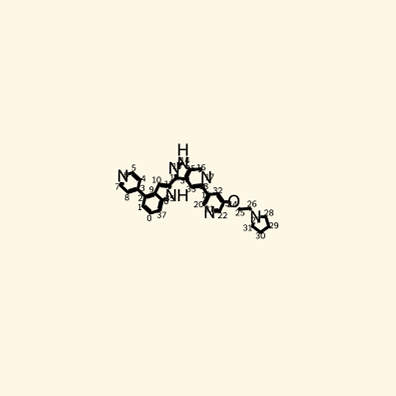 c1cc(-c2ccncc2)c2cc(-c3n[nH]c4cnc(-c5cncc(OCCN6CCCC6)c5)cc34)[nH]c2c1